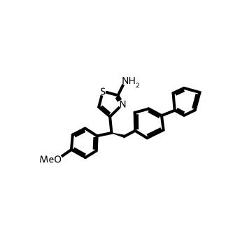 COc1ccc([C@H](Cc2ccc(-c3ccccc3)cc2)c2csc(N)n2)cc1